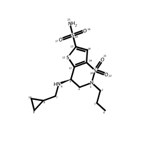 CCCN1C[C@@H](NCC2CC2)c2sc(S(N)(=O)=O)cc2S1(=O)=O